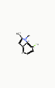 Cn1c(C#N)cc2cccc(F)c21